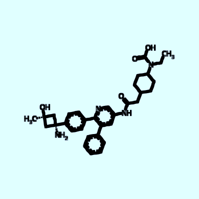 CCN(C(=O)O)C1CCC(CC(=O)Nc2cnc(-c3ccc([C@]4(N)C[C@](C)(O)C4)cc3)c(-c3ccccc3)c2)CC1